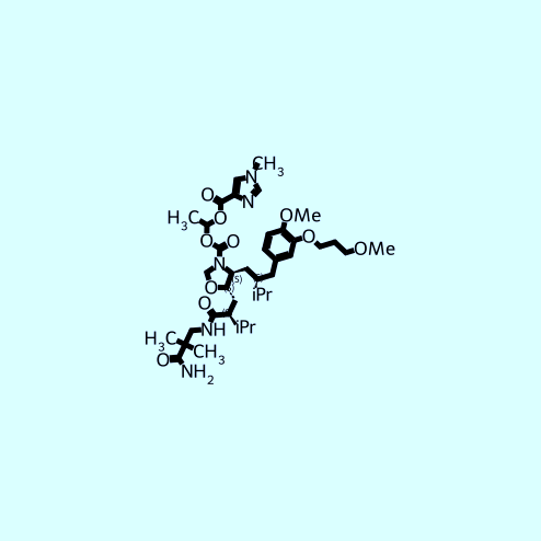 COCCCOc1cc(C[C@@H](C[C@H]2[C@H](C[C@H](C(=O)NCC(C)(C)C(N)=O)C(C)C)OCN2C(=O)OC(C)OC(=O)c2cn(C)cn2)C(C)C)ccc1OC